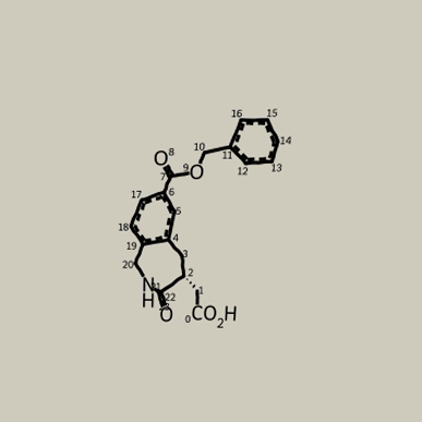 O=C(O)C[C@H]1Cc2cc(C(=O)OCc3ccccc3)ccc2CNC1=O